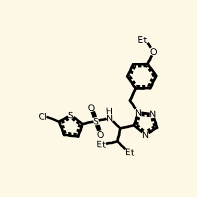 CCOc1ccc(Cn2ncnc2C(NS(=O)(=O)c2ccc(Cl)s2)C(CC)CC)cc1